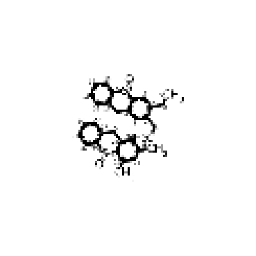 CCc1cc2c(cc1CC)[S+]([O-])c1ccccc1C2.Cc1cc(C)c2c(c1)Cc1ccccc1[S+]2[O-]